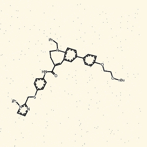 CCCCOCCOc1ccc(-c2ccc3c(c2)C=C(C(=O)Nc2ccc(SCc4nccn4C(C)C)cc2)CCN3CC(C)C)cc1